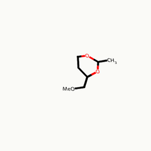 COCC1CCOC(C)O1